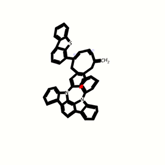 C=C1/C=C\C=C(\c2cccc3c2sc2ccccc23)Cc2cc(-n3c4ccccc4c4ccc5c6ccccc6n(-c6ccccc6)c5c43)ccc2C1